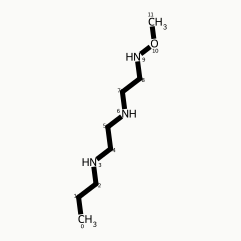 CCCNCCNCCNOC